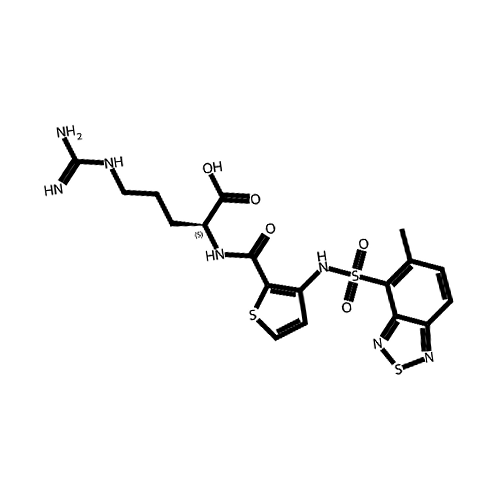 Cc1ccc2nsnc2c1S(=O)(=O)Nc1ccsc1C(=O)N[C@@H](CCCNC(=N)N)C(=O)O